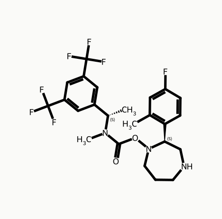 Cc1cc(F)ccc1[C@H]1CNCCCN1OC(=O)N(C)[C@@H](C)c1cc(C(F)(F)F)cc(C(F)(F)F)c1